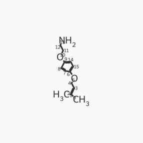 CC(C)=CCOc1ccc(OCCN)cc1